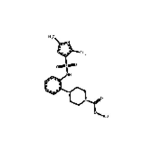 Cc1nc(C)c(S(=O)(=O)Nc2ccccc2N2CCN(C(=O)OC(C)(C)C)CC2)s1